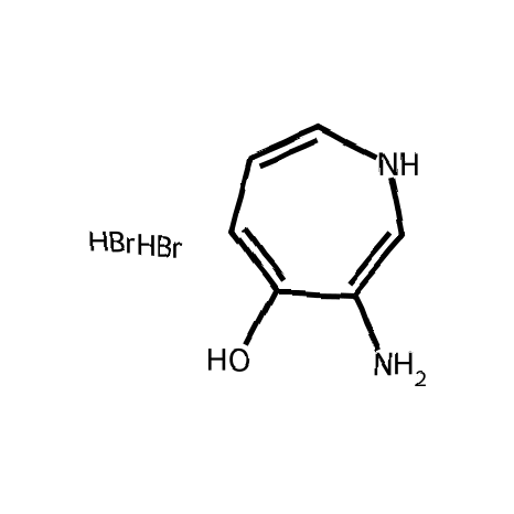 Br.Br.NC1=CNC=CC=C1O